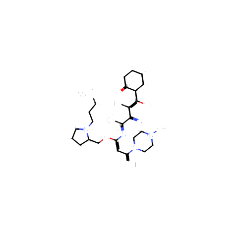 C=C(/C=C(\N=C(/CC)C(=N)/C(CCC)=C(\O)C1CCCCC1=O)OCC1CCCN1CCCOC)N1CCN(C)CC1